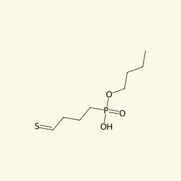 CCCCOP(=O)(O)CCCC=S